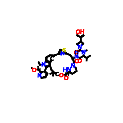 C=C(CO)C1CN(C(=O)N(C)C(C(=O)N[C@H]2Cc3nc(cs3)-c3ccc4c(c3)c(c(-c3cccnc3[C@H](C)OC)n4CC)CC(C)(C)COC(=O)[C@@H]3CCCN(N3)C2=O)C(C)C)C1